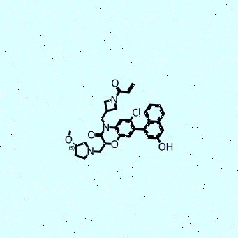 C=CC(=O)N1CC(CN2C(=O)C(CN3CC[C@H](OC)C3)Oc3cc(-c4cc(O)cc5ccccc45)c(Cl)cc32)C1